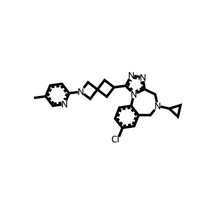 Cc1ccc(N2CC3(CC(c4nnc5n4-c4ccc(Cl)cc4CN(C4CC4)C5)C3)C2)nc1